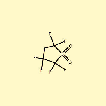 O=S1(=O)C(F)(F)CC(F)(F)C1(F)F